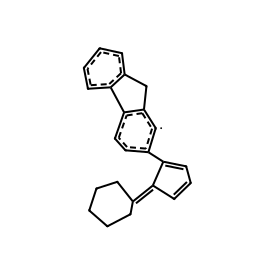 [c]1c(C2=CC=CC2=C2CCCCC2)ccc2c1Cc1ccccc1-2